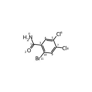 NC(=O)c1cc(Cl)c(Cl)cc1Br